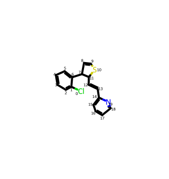 Clc1ccccc1C1C=CSC1C=Cc1ccccn1